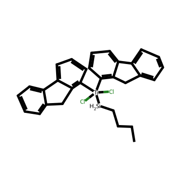 CCCC[SiH2][Ti]([Cl])([Cl])([c]1cccc2c1Cc1ccccc1-2)[c]1cccc2c1Cc1ccccc1-2